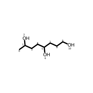 CC(O)CCC(O)CCCO